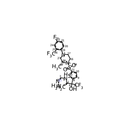 C=C(N/C=N\N)C(O)(c1ccc(S(=O)(=O)N2CCN(c3ccc(F)cc3C(F)(F)F)C[C@H]2C)s1)C(F)(F)F